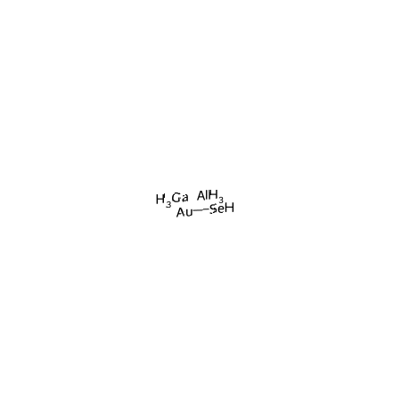 [AlH3].[GaH3].[SeH][Au]